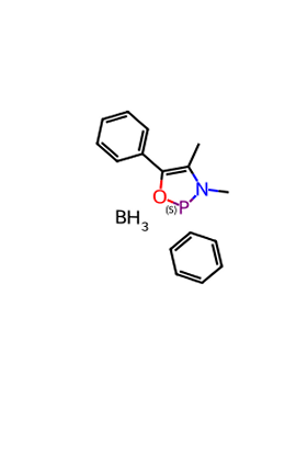 B.CC1=C(c2ccccc2)O[P@](c2ccccc2)N1C